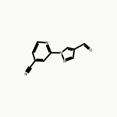 N#Cc1ccnc(-n2cc(C=O)cn2)c1